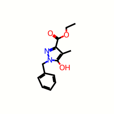 CCOC(=O)c1nn(Cc2ccccc2)c(O)c1C